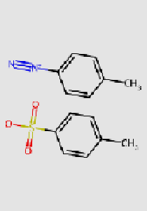 Cc1ccc(S(=O)(=O)[O-])cc1.Cc1ccc([N+]#N)cc1